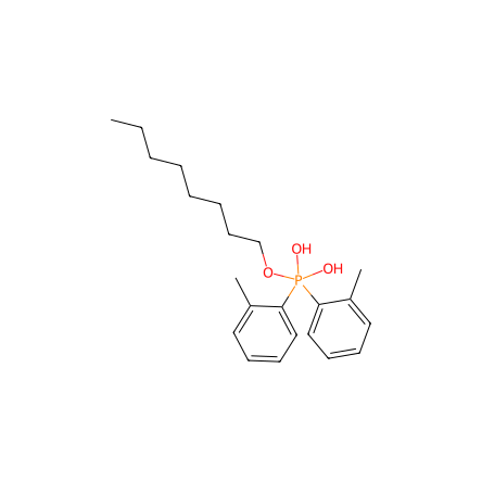 CCCCCCCCOP(O)(O)(c1ccccc1C)c1ccccc1C